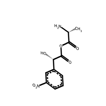 C[C@@H](N)C(=O)OC(=O)[C@@H](O)c1cccc([N+](=O)[O-])c1